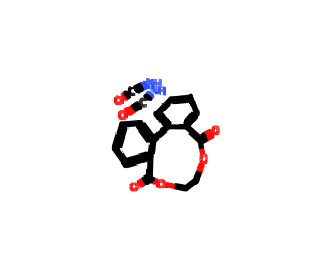 N=C=O.N=C=O.O=C1OCCOC(=O)c2ccccc2-c2ccccc21